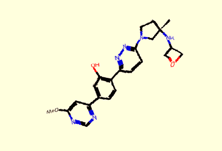 COc1cc(-c2ccc(-c3ccc(N4CC[C@](C)(NC5COC5)C4)nn3)c(O)c2)ncn1